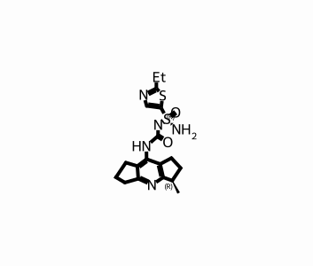 CCc1ncc([S@](N)(=O)=NC(=O)Nc2c3c(nc4c2CC[C@H]4C)CCC3)s1